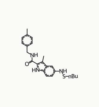 CCCCSNc1ccc2[nH]c(C(=O)NCc3ccc(C)cc3)c(C)c2c1